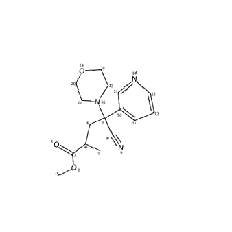 COC(=O)C(C)CC(C#N)(c1cccnc1)N1CCOCC1